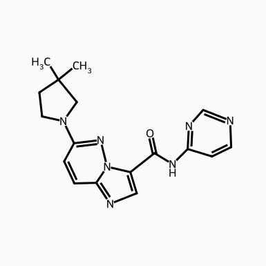 CC1(C)CCN(c2ccc3ncc(C(=O)Nc4ccncn4)n3n2)C1